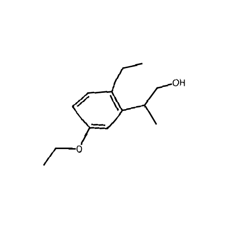 CCOc1ccc(CC)c([C](C)CO)c1